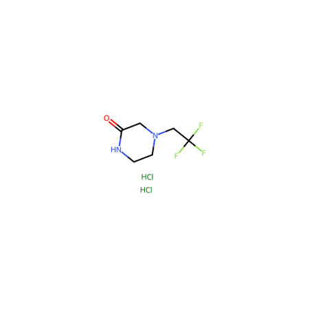 Cl.Cl.O=C1CN(CC(F)(F)F)CCN1